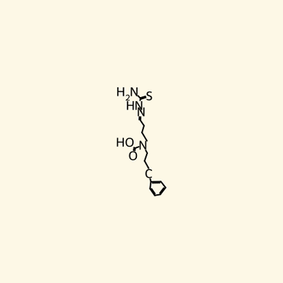 NC(=S)NN=CCCCN(CCCCc1ccccc1)C(=O)O